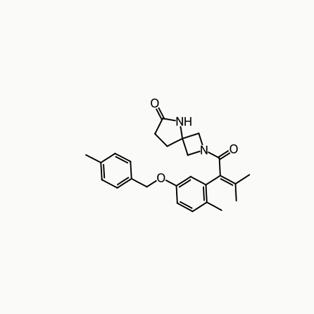 CC(C)=C(C(=O)N1CC2(CCC(=O)N2)C1)c1cc(OCc2ccc(C)cc2)ccc1C